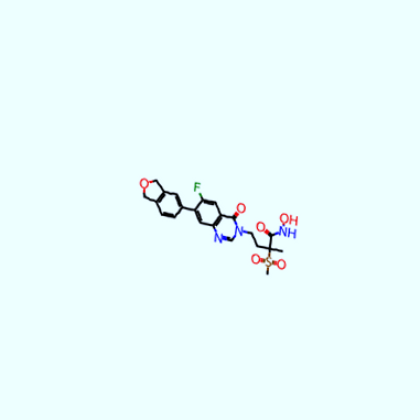 CC(CCn1cnc2cc(-c3ccc4c(c3)COC4)c(F)cc2c1=O)(C(=O)NO)S(C)(=O)=O